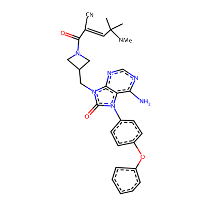 CNC(C)(C)C=C(C#N)C(=O)N1CC(Cn2c(=O)n(-c3ccc(Oc4ccccc4)cc3)c3c(N)ncnc32)C1